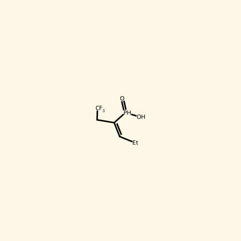 CCC=C(CC(F)(F)F)[PH](=O)O